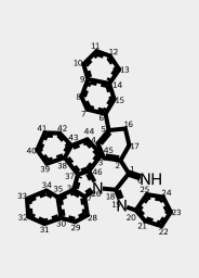 N=C(C1=CC=C(c2ccc3ccccc3c2)CC1)/C(=N\c1ccccc1)n1c2ccc3ccccc3c2c2c3ccccc3ccc21